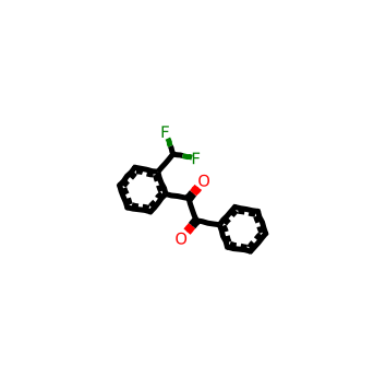 O=C(C(=O)c1ccccc1C(F)F)c1ccccc1